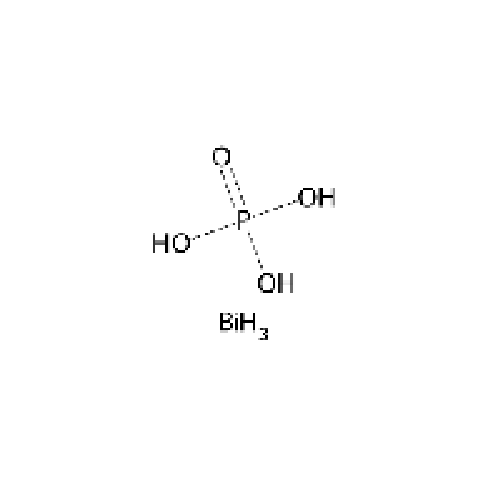 O=P(O)(O)O.[BiH3]